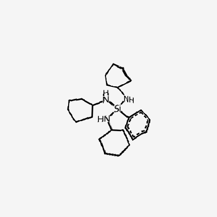 c1ccc([Si](NC2CCCCC2)(NC2CCCCC2)NC2CCCCC2)cc1